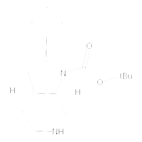 CC(C)(C)OC(=O)N1C(C2CCC2)C[C@@H]2CCNC[C@@H]21